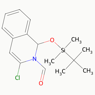 CC(C)(C)[Si](C)(C)OC1c2ccccc2C=C(Cl)N1C=O